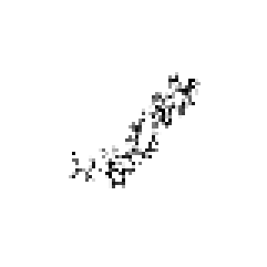 CC(F)CCC[Si@H]1CC[C@H](c2ccc(C(=O)Oc3ccc(F)c(F)c3)cc2)CC1